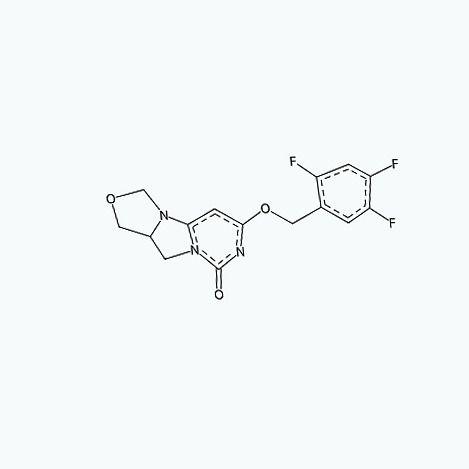 O=c1nc(OCc2cc(F)c(F)cc2F)cc2n1CC1COCN21